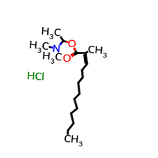 CCCCCCCCCCC=C(C)C(=O)OC(C)N(C)C.Cl